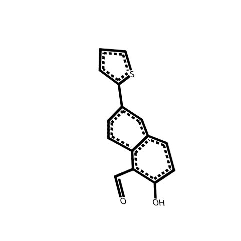 O=Cc1c(O)ccc2cc(-c3cccs3)ccc12